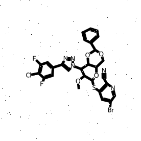 COC1C(Sc2cc(Br)cnc2C#N)OC2COC(c3ccccc3)OC2C1n1cc(-c2cc(F)c(Cl)c(F)c2)nn1